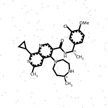 COc1ccc([C@H](C)NC(=O)c2cnc3c(C4CC4)nc(C)cc3c2N2CCN[C@@H](C)CC2)cc1Cl